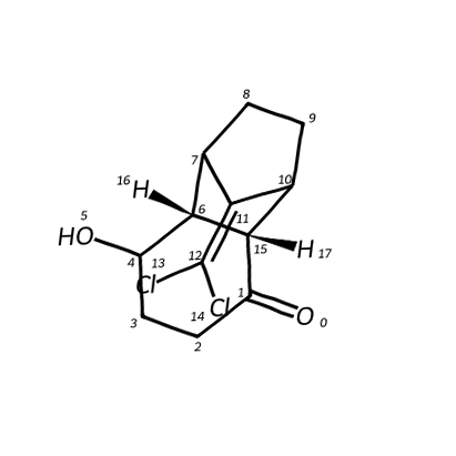 O=C1CCC(O)[C@@H]2C3CCC(C3=C(Cl)Cl)[C@H]12